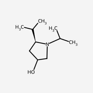 CC(C)[C@@H]1CC(O)CN1C(C)C